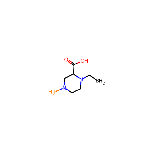 BCN1CCN(P)CC1C(=O)O